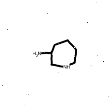 NC1[CH]NCCCC1